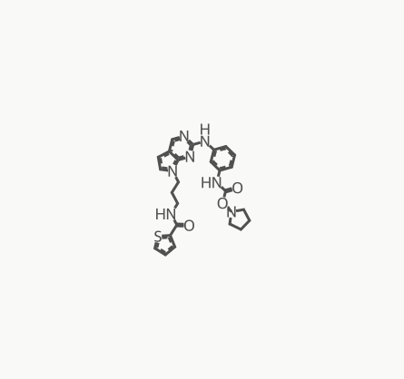 O=C(Nc1cccc(Nc2ncc3ccn(CCCNC(=O)c4cccs4)c3n2)c1)ON1CCCC1